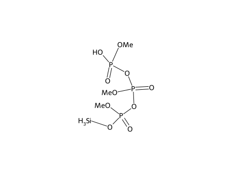 COP(=O)(O)OP(=O)(OC)OP(=O)(OC)O[SiH3]